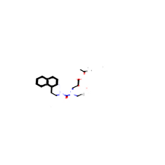 CC(=O)NC(C)OC(=O)C(O)CN(CC(C)C)C(=O)N[C@@H](Cc1cccc2ccccc12)C(=O)O